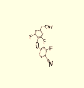 N#Cc1ccc(Oc2c(F)cc(CO)cc2F)cc1F